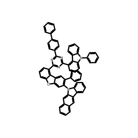 c1ccc(-c2ccc(-c3nc(-c4cccc5oc6cc(-n7c8ccccc8c8cc9ccccc9cc87)c(-c7ccccc7)cc6c45)nc(-c4cccc5c4c4ccccc4n5-c4ccccc4)n3)cc2)cc1